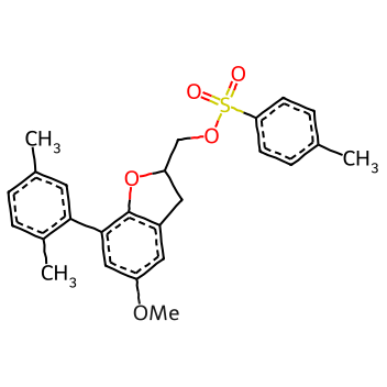 COc1cc2c(c(-c3cc(C)ccc3C)c1)OC(COS(=O)(=O)c1ccc(C)cc1)C2